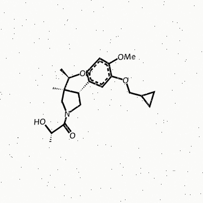 COc1ccc([C@@H]2CN(C(=O)[C@H](C)O)C[C@@]2(C)[C@@H](C)O)cc1OCC1CC1